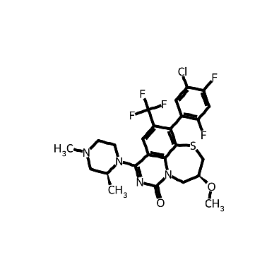 CO[C@@H]1CSc2c(-c3cc(Cl)c(F)cc3F)c(C(F)(F)F)cc3c(N4CCN(C)C[C@@H]4C)nc(=O)n(c23)C1